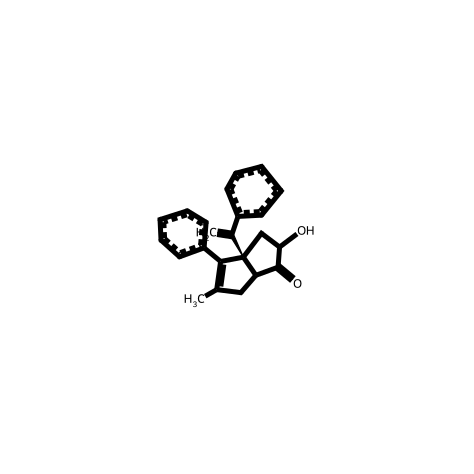 C=C(c1ccccc1)[C@@]12CC(O)C(=O)C1CC(C)=C2c1ccccc1